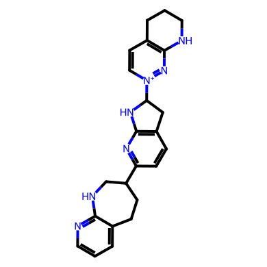 c1cnc2c(c1)CCC(c1ccc3c(n1)NC([n+]1ccc4c(n1)NCCC4)C3)CN2